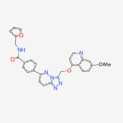 COc1ccc2c(OCc3nnc4ccc(-c5ccc(C(=O)NCc6ccco6)cc5)nn34)ccnc2c1